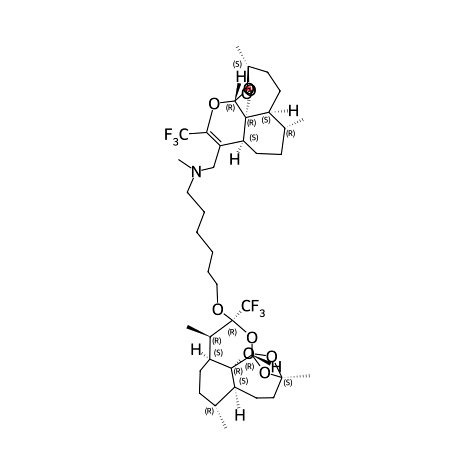 C[C@@H]1CC[C@H]2[C@@H](C)[C@](OCCCCCCN(C)CC3=C(C(F)(F)F)O[C@@H]4O[C@]5(C)CC[C@H]6[C@H](C)CC[C@@H]3[C@@]46OO5)(C(F)(F)F)O[C@@H]3O[C@]4(C)CC[C@@H]1[C@]32OO4